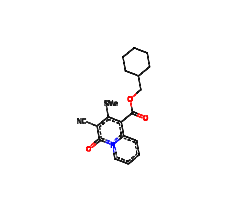 CSc1c(C#N)c(=O)n2ccccc2c1C(=O)OCC1CCCCC1